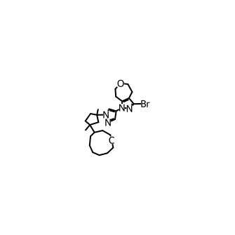 CC1(C2CCCCCCCCC2)CCC(C)(n2cc(-n3nc(Br)c4c3CCOCC4)cn2)C1